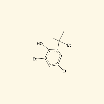 CCc1cc(CC)c(O)c(C(C)(C)CC)c1